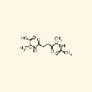 CC(=O)N[C@@H](C)C(=O)CCC(=O)N[C@@H](C)C(=O)O